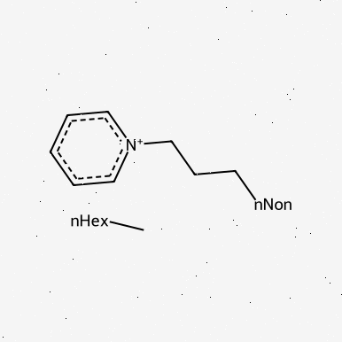 CCCCCCC.CCCCCCCCCCCC[n+]1ccccc1